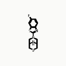 Fc1ccc2nc(N3CC4COCC(C3)N4)sc2c1